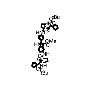 COC(=O)c1c(-c2ccc(NC(=O)C3CCCN3C(=O)[C@@H](NC(=O)OC(C)(C)C)c3ccccc3)cc2)[nH]c2ccc(NC(=O)[C@@H]3CCCN3C(=O)[C@H](NC(=O)OC(C)(C)C)c3ccccc3)cc12